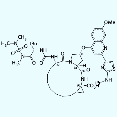 COc1ccc2c(O[C@@H]3C[C@H]4C(=O)N[C@]5(C(=O)O)CC5CCCCCCC[C@H](NC(=O)NC(C(=O)N(C)S(=O)(=O)N(C)C)C(C)(C)C)C(=O)N4C3)cc(-c3csc(NC(C)C)n3)nc2c1